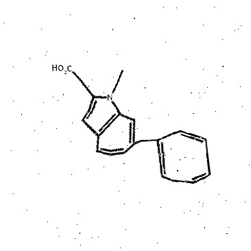 Cn1c(C(=O)O)cc2ccc(-c3ccccc3)cc21